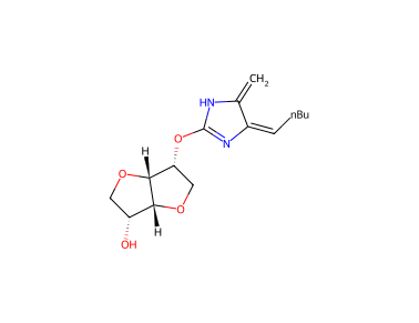 C=c1[nH]c(O[C@@H]2CO[C@H]3[C@@H]2OC[C@H]3O)n/c1=C/CCCC